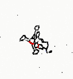 C#C/C=C(\C=C/CCN1c2ccccc2C2(c3ccccc31)c1cc(-c3ccccc3)ccc1N(c1ccccc1)c1ccc(-c3ccccc3)cc12)c1ccccc1